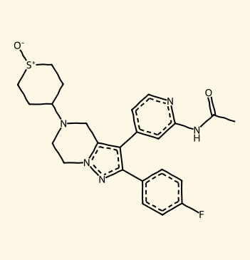 CC(=O)Nc1cc(-c2c(-c3ccc(F)cc3)nn3c2CN(C2CC[S+]([O-])CC2)CC3)ccn1